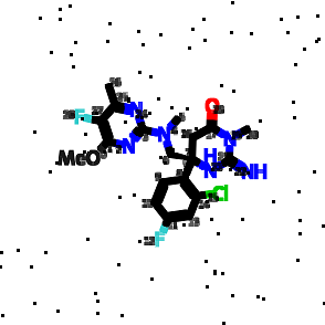 COc1nc(N(C)C[C@@]2(c3ccc(F)cc3Cl)CC(=O)N(C)C(=N)N2)nc(C)c1F